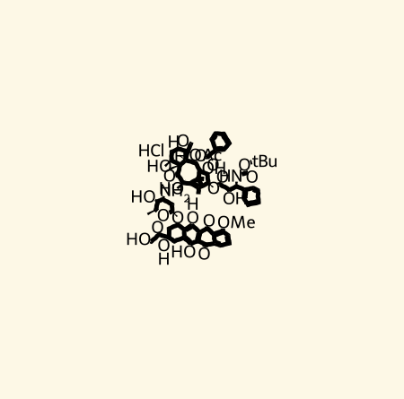 CC(=O)O[C@@]12CO[C@@H]1C[C@H](O)[C@@]1(C)C(=O)[C@H](O)C3=C(C)[C@@H](OC(=O)C(O)[C@@H](NC(=O)OC(C)(C)C)c4ccccc4)C[C@@](O)([C@@H](OC(=O)c4ccccc4)[C@H]21)C3(C)C.COc1cccc2c1C(=O)c1c(O)c3c(c(O)c1C2=O)C[C@@](O)(C(=O)CO)C[C@@H]3O[C@H]1C[C@H](N)[C@H](O)[C@H](C)O1.Cl